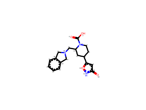 O=C(O)N1CCC(c2cc(=O)[nH]o2)CC1CN1Cc2ccccc2C1